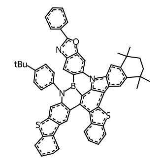 CC(C)(C)c1ccc(N2B3c4cc5nc(-c6ccccc6)oc5cc4-n4c5cc6c(cc5c5c7sc8ccccc8c7c(c3c54)-c3cc4c(cc32)sc2ccccc24)C(C)(C)CCC6(C)C)cc1